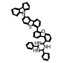 c1ccc(C2NC(c3ccccc3)NC(c3cccc4oc5c(-c6cccc7c6sc6ccc(-n8c9ccccc9c9ccccc98)cc67)cccc5c34)N2)cc1